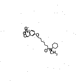 CN(C(=O)CCCCCCOc1ccc([N+](=O)[O-])c(C=O)c1)C1CCCCC1